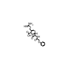 N=C(N)SCC1=CS[C@@H]2C(NC(=O)COc3ccccc3)C(=O)N2C1C(=O)O